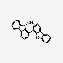 Cn1c2ccccc2c2cccc(-c3cccc4c3oc3ccccc34)c21